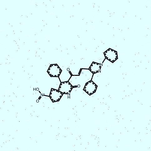 O=C(/C=C/c1cn(-c2ccccc2)nc1-c1ccccc1)c1c(-c2ccccc2)c2cc([N+](=O)O)ccc2[nH]c1=O